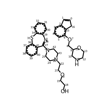 C1=Cc2cccc(OCC3CNCCO3)c2C1.OCCOCCN1CCN(C2=Nc3ccccc3Sc3ccccc32)CC1